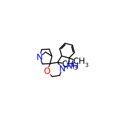 CC12C=CC=CC1C1(C)N(CCOC13CN1CCC3C1)N2